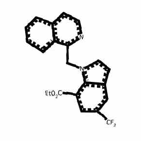 CCOC(=O)c1cc(C(F)(F)F)cc2ccn(Cc3nccc4ccccc34)c12